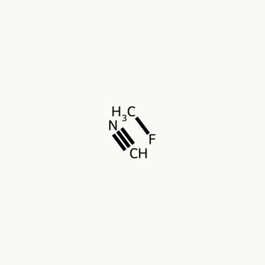 C#N.CF